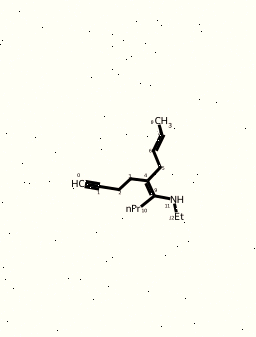 C#CCC/C(C/C=C/C)=C(\CCC)NCC